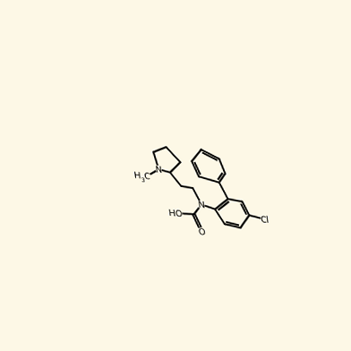 CN1CCCC1CCN(C(=O)O)c1ccc(Cl)cc1-c1ccccc1